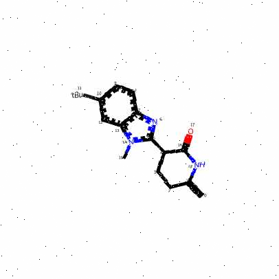 C=C1CCC(c2nc3ccc(C(C)(C)C)cc3n2C)C(=O)N1